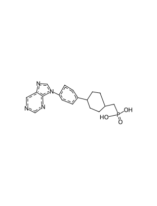 O=P(O)(O)CC1CCC(c2ccc(-n3cnc4cncnc43)cc2)CC1